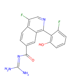 NC(N)=NC(=O)c1ccc2c(F)cnc(-c3c(O)cccc3F)c2c1